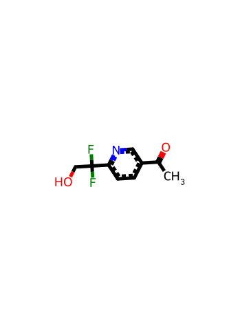 CC(=O)c1ccc(C(F)(F)CO)nc1